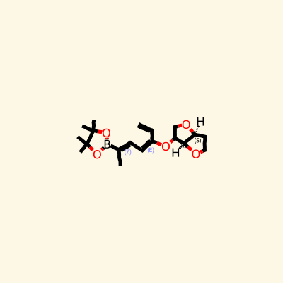 C=C/C(=C\C=C(/C)B1OC(C)(C)C(C)(C)O1)OC1CO[C@H]2CCO[C@@H]12